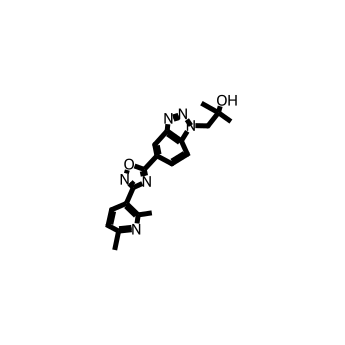 Cc1ccc(-c2noc(-c3ccc4c(c3)nnn4CC(C)(C)O)n2)c(C)n1